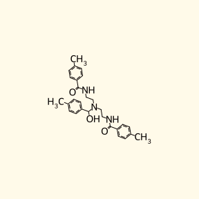 Cc1ccc(C(=O)NCCN(CCNC(=O)c2ccc(C)cc2)C(O)c2ccc(C)cc2)cc1